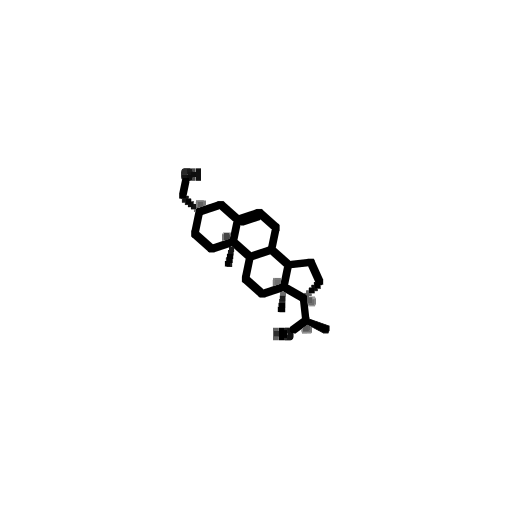 C[C@@H](O)[C@H]1CCC2C3CC=C4C[C@@H](CO)CC[C@]4(C)C3CC[C@@]21C